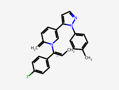 C=C1C=CC(c2ccnn2-c2ccc(C)cc2)=CN1/C(=C\C)c1ccc(F)cc1